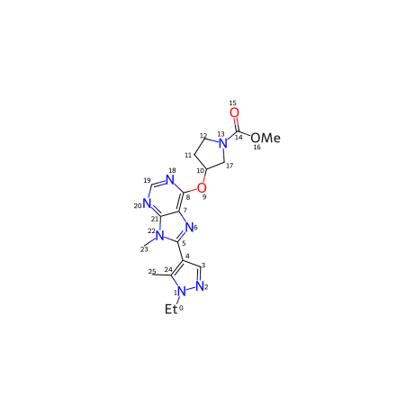 CCn1ncc(-c2nc3c(OC4CCN(C(=O)OC)C4)ncnc3n2C)c1C